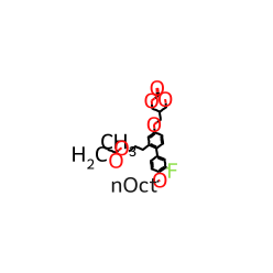 C=C(C)C(=O)OCCCc1cc(OCC2COC(=O)OC2)ccc1-c1ccc(OCCCCCCCC)c(F)c1